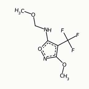 COCNc1onc(OC)c1C(F)(F)F